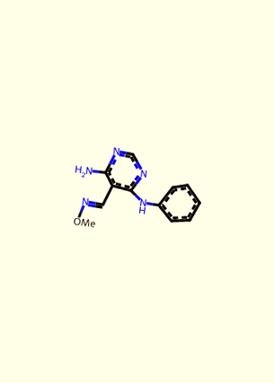 CON=Cc1c(N)ncnc1Nc1ccccc1